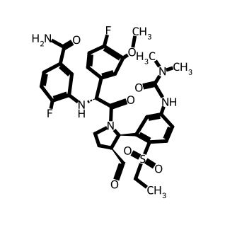 CCS(=O)(=O)c1ccc(NC(=O)N(C)C)cc1[C@H]1[C@@H](C=O)CCN1C(=O)[C@H](Nc1cc(C(N)=O)ccc1F)c1ccc(F)c(OC)c1